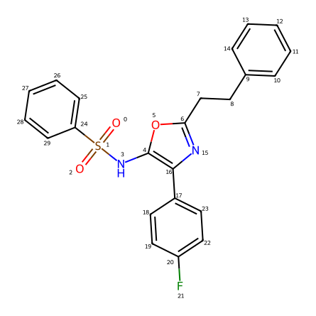 O=S(=O)(Nc1oc(CCc2ccccc2)nc1-c1ccc(F)cc1)c1ccccc1